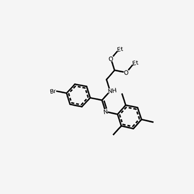 CCOC(CNC(=Nc1c(C)cc(C)cc1C)c1ccc(Br)cc1)OCC